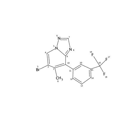 Cc1c(Br)cn2ncnc2c1-c1cccc(C(F)(F)F)c1